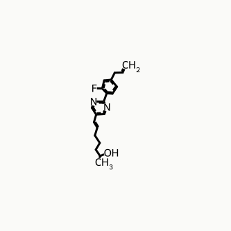 C=CCc1ccc(-c2ncc(/C=C/CCCC(C)O)cn2)c(F)c1